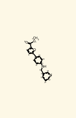 COC(=O)c1ccc(-c2ccc(NCc3cccnc3)cc2)o1